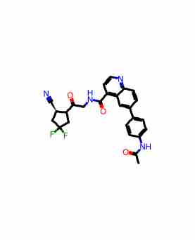 CC(=O)Nc1ccc(-c2ccc3nccc(C(=O)NCC(=O)C4CC(F)(F)C[C@H]4C#N)c3c2)cc1